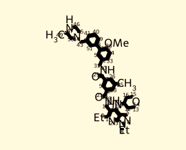 CCc1nc2c(cnn2CC)c(NC2CCOCC2)c1CNC(=O)c1cc(C)cc(C(=O)NCc2ccc(OC)c(-c3cccc(CN4CCN[C@H](C)C4)c3)c2)c1